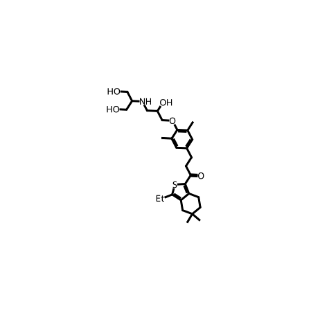 CCc1sc(C(=O)CCc2cc(C)c(OCC(O)CNC(CO)CO)c(C)c2)c2c1CC(C)(C)CC2